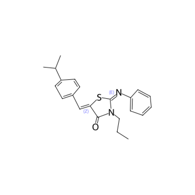 CCCN1C(=O)/C(=C/c2ccc(C(C)C)cc2)S/C1=N/c1ccccc1